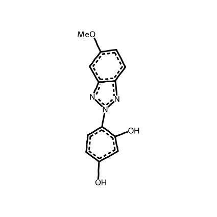 COc1ccc2nn(-c3ccc(O)cc3O)nc2c1